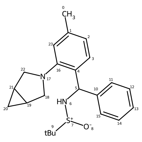 Cc1ccc(C(N[S+]([O-])C(C)(C)C)c2ccccc2)c(N2CC3CC3C2)c1